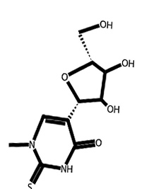 Cn1cc([C@@H]2O[C@H](CO)C(O)C2O)c(=O)[nH]c1=S